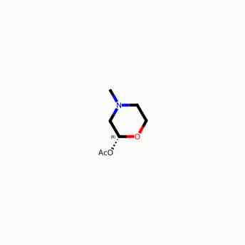 CC(=O)O[C@@H]1CN(C)CCO1